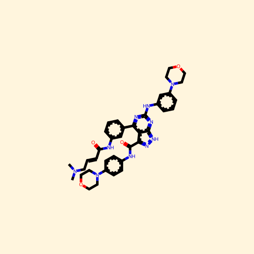 CN(C)C/C=C/C(=O)Nc1cccc(-c2nc(Nc3cccc(N4CCOCC4)c3)nc3[nH]nc(C(=O)Nc4ccc(N5CCOCC5)cc4)c23)c1